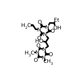 C=CCn1c(=O)n(CC(O)CC)c(=O)n(CC(O)Cn2c(=O)n(C)c(=O)n(C)c2=O)c1=O